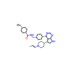 CC=CN1CCC(c2c[nH]c3ncnc(-c4ccc(CNC(=O)c5ccc(C(C)(C)C)cc5)cc4)c23)CC1